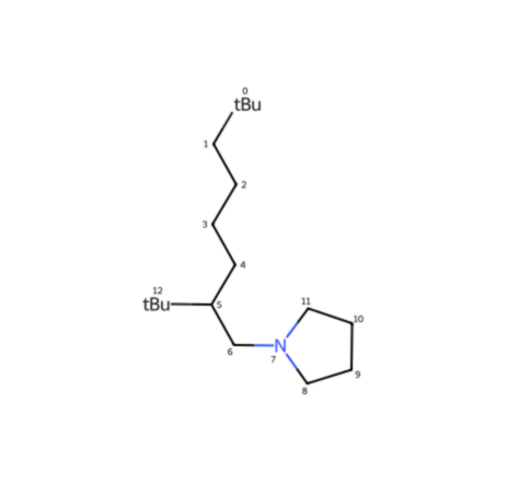 CC(C)(C)CCCCC(CN1CCCC1)C(C)(C)C